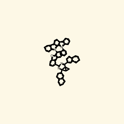 c1ccc(-n2c3ccccc3c3ccc4c5ccccc5n(-c5cccc6c5oc5cccc(C7=NC8(c9ccc%10ccccc%10c9)C9CC98C(c8ccc9ccccc9c8)=N7)c56)c4c32)cc1